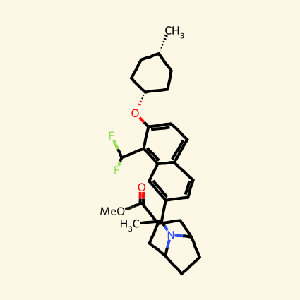 COC(=O)C1CC2CCC(C1)N2C(C)c1ccc2ccc(O[C@H]3CC[C@@H](C)CC3)c(C(F)F)c2c1